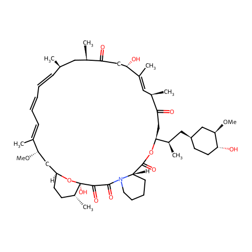 CO[C@H]1C[C@@H]2CC[C@@H](C)[C@@](O)(O2)C(=O)C(=O)N2CCCC[C@H]2C(=O)O[C@H]([C@H](C)C[C@@H]2CC[C@@H](O)[C@H](OC)C2)CC(=O)[C@H](C)/C=C(\C)[C@@H](O)CC(=O)[C@H](C)C[C@H](C)/C=C/C=C/C=C/1C